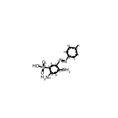 Cc1ccc(N=Nc2cc(S(=O)(=O)O)c(N)cc2N)cc1